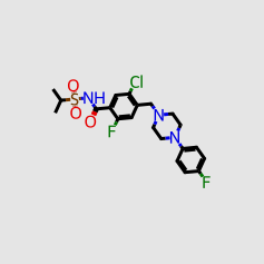 CC(C)S(=O)(=O)NC(=O)c1cc(Cl)c(CN2CCN(c3ccc(F)cc3)CC2)cc1F